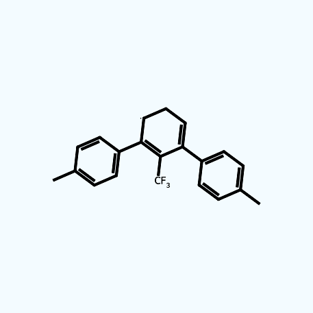 Cc1ccc(C2=CC[CH]C(c3ccc(C)cc3)=C2C(F)(F)F)cc1